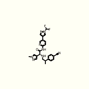 CC(CN[C@H](C(=O)Nc1ccc(-c2cnn(C(F)F)c2)cn1)c1cnn(C)c1)c1ccc(C#N)cc1